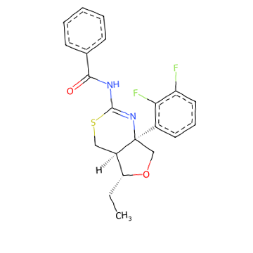 CC[C@H]1OC[C@]2(c3cccc(F)c3F)N=C(NC(=O)c3ccccc3)SC[C@H]12